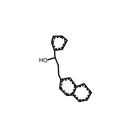 OC(CCc1ccc2ccccc2c1)c1ccccc1